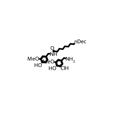 CCCCCCCCCCCCCCCCCC(=O)NCc1ccc(O)c(OC)c1.COc1cc(CN)ccc1O.Cl